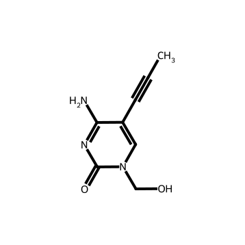 CC#Cc1cn(CO)c(=O)nc1N